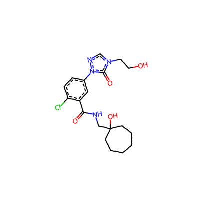 O=C(NCC1(O)CCCCCC1)c1cc(-n2ncn(CCO)c2=O)ccc1Cl